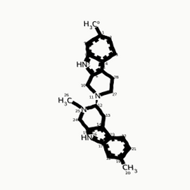 Cc1ccc2c3c([nH]c2c1)CN([C@@H]1Cc2c([nH]c4cc(C)ccc24)CN1C)CC3